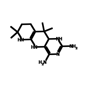 CC1(C)CCC2=C(NC3=C(N)N=C(N)NC3C2(C)C)N1